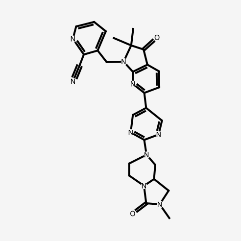 CN1CC2CN(c3ncc(-c4ccc5c(n4)N(Cc4cccnc4C#N)C(C)(C)C5=O)cn3)CCN2C1=O